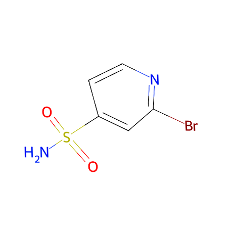 NS(=O)(=O)c1ccnc(Br)c1